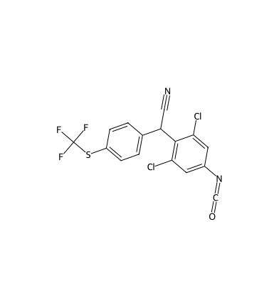 N#CC(c1ccc(SC(F)(F)F)cc1)c1c(Cl)cc(N=C=O)cc1Cl